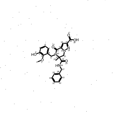 COc1c(O)cccc1CN1C(=O)c2cc(C(=O)O)nn2CC1(C)C(=O)NCc1ccccc1